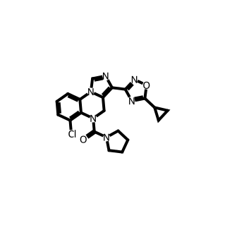 O=C(N1CCCC1)N1Cc2c(-c3noc(C4CC4)n3)ncn2-c2cccc(Cl)c21